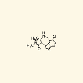 CC1NCc2c(Cl)ccc3scc(c23)C1C(=O)N(C)C